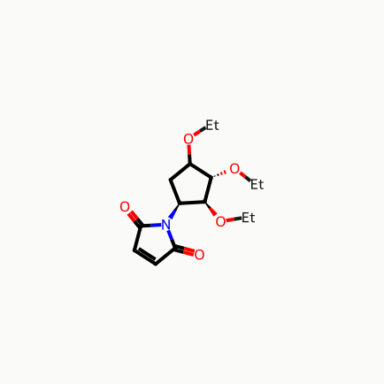 CCOC1C[C@H](N2C(=O)C=CC2=O)[C@H](OCC)[C@H]1OCC